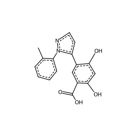 Cc1ccccc1-n1nccc1-c1cc(C(=O)O)c(O)cc1O